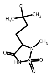 CN1C(CCC(C)(C)Cl)C(=O)NS1(=O)=O